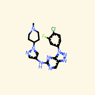 CN1CCC(n2cc(Nc3ncc4nnn(-c5ccc(Cl)c(F)c5)c4n3)cn2)CC1